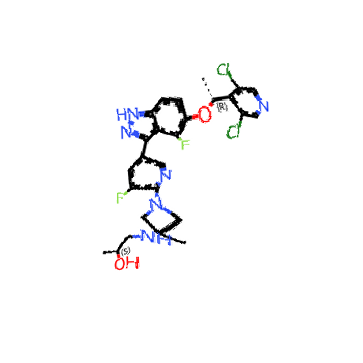 C[C@H](O)CNC1(C)CN(c2ncc(-c3n[nH]c4ccc(O[C@H](C)c5c(Cl)cncc5Cl)c(F)c34)cc2F)C1